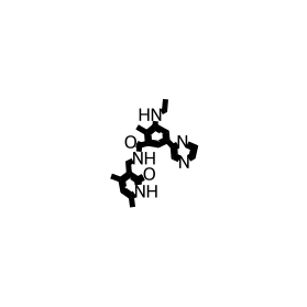 CCNc1cc(-c2cnccn2)cc(C(=O)NCc2c(C)cc(C)[nH]c2=O)c1C